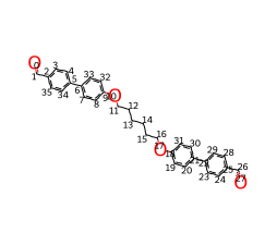 O=Cc1ccc(-c2ccc(OCCCCCCOc3ccc(-c4ccc(C=O)cc4)cc3)cc2)cc1